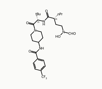 CCC[C@H](CCN(O)C=O)C(=O)N[C@H](C(=O)N1CCC(NC(=O)c2ccc(C(F)(F)F)cc2)CC1)C(C)(C)C